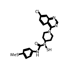 CSc1ccc(NC(=O)N(S)C2CCN(c3ncnc4cc(Cl)ccc34)CC2)cc1